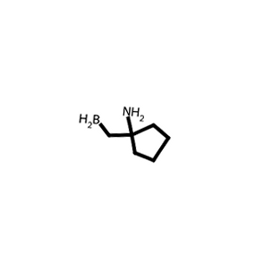 BCC1(N)CCCC1